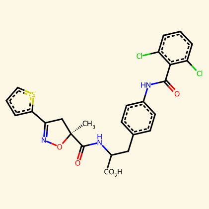 C[C@@]1(C(=O)NC(Cc2ccc(NC(=O)c3c(Cl)cccc3Cl)cc2)C(=O)O)CC(c2cccs2)=NO1